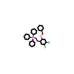 Fc1cc(CC[PH](c2ccccc2)(c2ccccc2)c2ccccc2)c(OCc2ccccc2)cc1F